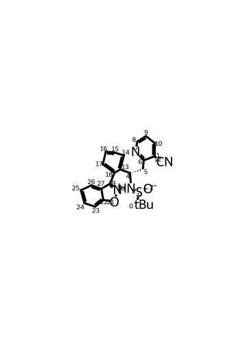 CC(C)(C)[S+]([O-])N[C@@H](Cc1ncccc1C#N)c1ccccc1-c1noc2ccccc12